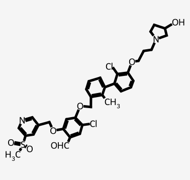 Cc1c(COc2cc(OCc3cncc(S(C)(=O)=O)c3)c(C=O)cc2Cl)cccc1-c1cccc(OCCCN2CCC(O)C2)c1Cl